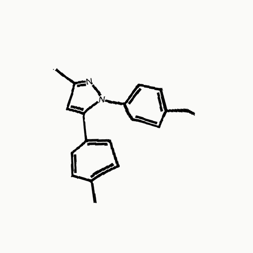 [CH2]c1cc(-c2ccc(C)cc2)n(-c2ccc(C)cc2)n1